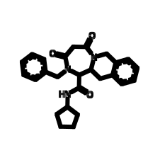 O=C(NC1CCCC1)C1C2Cc3ccccc3CN2C(=O)CC(=O)N1Cc1ccccc1